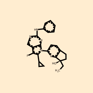 CC[C@@]1(O)CCc2ccc(-n3c(C4CC4)c(F)c4cnc(Nc5ccccc5)nc43)nc21